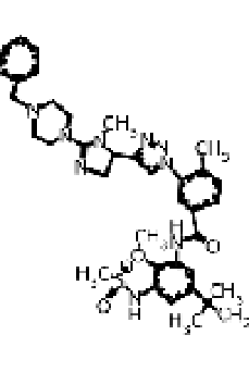 COc1c(NC(=O)c2ccc(C)c(-n3cc(C4CN=C(N5CCN(Cc6ccccc6)CC5)N4C)nn3)c2)cc(C(C)(C)C)cc1NS(C)(=O)=O